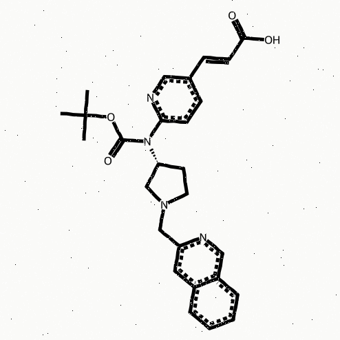 CC(C)(C)OC(=O)N(c1ccc(C=CC(=O)O)cn1)[C@@H]1CCN(Cc2cc3ccccc3cn2)C1